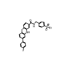 CCS(=O)(=O)c1ccc(CNC(=O)c2ccc3c(c2)Nc2cc(-c4ccc(F)cc4)ccc2S3)cc1